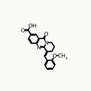 COc1ccccc1C=C1CCCn2c1nc1ccc(C(=O)O)cc1c2=O